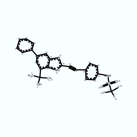 CC(C)(O)c1cc(-c2ccccc2)cc2nc(C#Cc3ccc(NS(=O)(=O)C(F)(F)F)cc3)[nH]c12